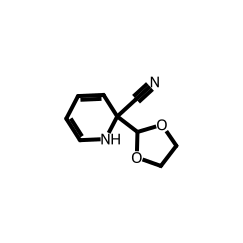 N#CC1(C2OCCO2)C=CC=CN1